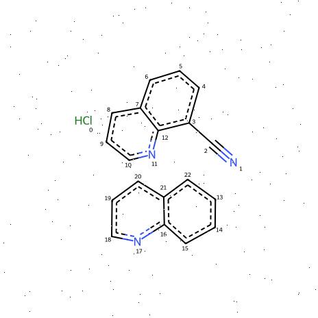 Cl.N#Cc1cccc2cccnc12.c1ccc2ncccc2c1